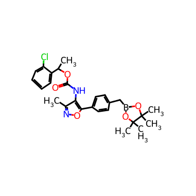 Cc1noc(-c2ccc(CB3OC(C)(C)C(C)(C)O3)cc2)c1NC(=O)OC(C)c1ccccc1Cl